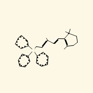 CC1=C(/C=C/C(C)=C/C[PH](c2ccccc2)(c2ccccc2)c2ccccc2)C(C)(C)CCC1